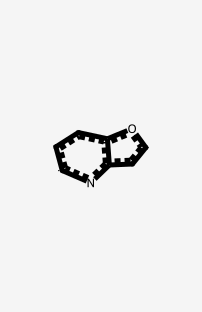 [c]1ccc2occc2n1